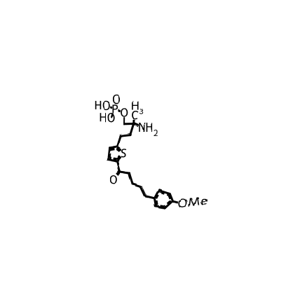 COc1ccc(CCCCC(=O)c2ccc(CCC(C)(N)COP(=O)(O)O)s2)cc1